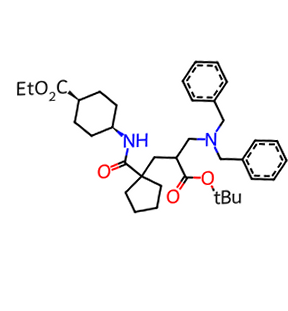 CCOC(=O)[C@H]1CC[C@@H](NC(=O)C2(CC(CN(Cc3ccccc3)Cc3ccccc3)C(=O)OC(C)(C)C)CCCC2)CC1